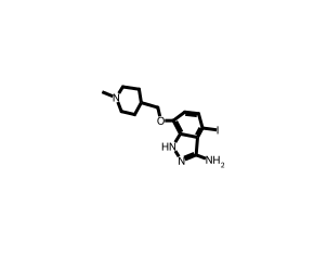 CN1CCC(COc2ccc(I)c3c(N)n[nH]c23)CC1